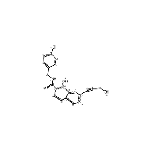 O=C(NCc1ccc(Cl)cc1)c1ccc2cnc(C#CCO)cc2c1O